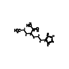 CCCC(CCCc1nccs1)C(=O)O